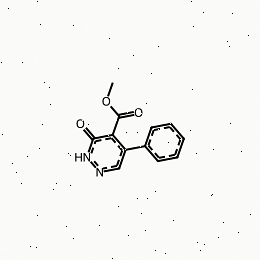 COC(=O)c1c(-c2ccccc2)cn[nH]c1=O